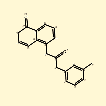 Cc1cccc(CC(=O)Cc2cccc3c2C=CCC3=O)c1